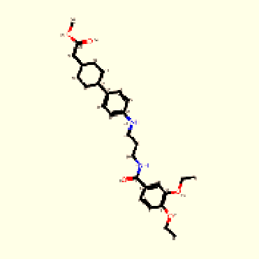 CCOc1ccc(C(=O)NCCCNc2ccc(C3CCC(CC(=O)OC)CC3)cc2)cc1OCC